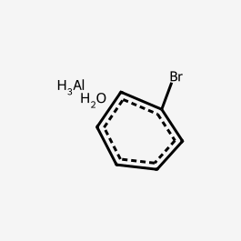 Brc1ccccc1.O.[AlH3]